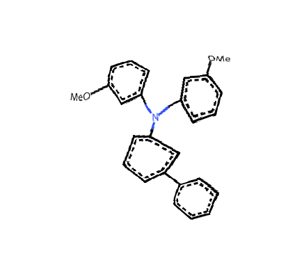 COc1cccc(N(c2cccc(OC)c2)c2cccc(-c3ccccc3)c2)c1